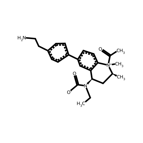 CCN(C(=O)[O-])[C@@H]1C[C@H](C)[N+](C)(C(C)=O)c2ccc(-c3ccc(CCN)cc3)cc21